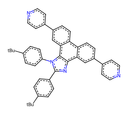 CC(C)(C)c1ccc(-c2nc3c4cc(-c5ccncc5)ccc4c4ccc(-c5ccncc5)cc4c3n2-c2ccc(C(C)(C)C)cc2)cc1